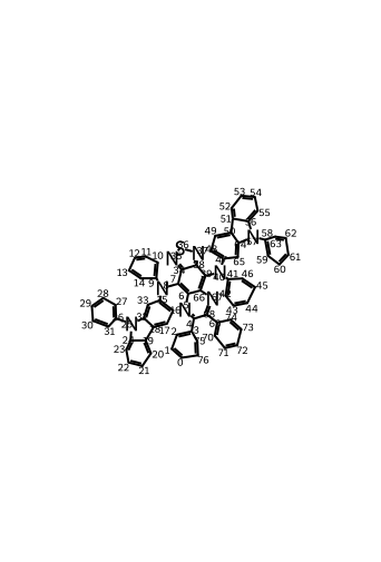 c1ccc(-c2nc3c(N(c4ccccc4)c4ccc5c6ccccc6n(-c6ccccc6)c5c4)c4nsnc4c(N(c4ccccc4)c4ccc5c6ccccc6n(-c6ccccc6)c5c4)c3nc2-c2ccccc2)cc1